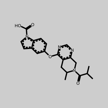 CC(C)C(=O)N1Cc2ncnc(Oc3ccc4c(ccn4C(=O)O)c3)c2CC1C